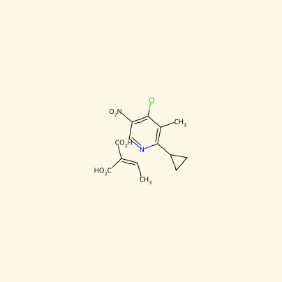 CC=C(C(=O)O)C(=O)O.Cc1c(C2CC2)ncc([N+](=O)[O-])c1Cl